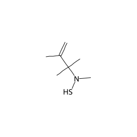 C=C(C)C(C)(C)N(C)S